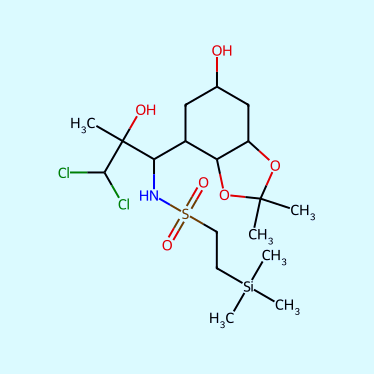 CC1(C)OC2CC(O)CC(C(NS(=O)(=O)CC[Si](C)(C)C)C(C)(O)C(Cl)Cl)C2O1